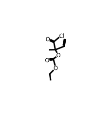 C=CC(C)(OC(=O)OCC)C(=O)Cl